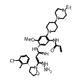 C=CC(=O)Nc1cc(NC(=N)/C=C(\NN)N2OCC[C@@H]2c2cccc(Cl)c2C)c(OC)cc1N1CCC(N2CCN(CC)CC2)CC1